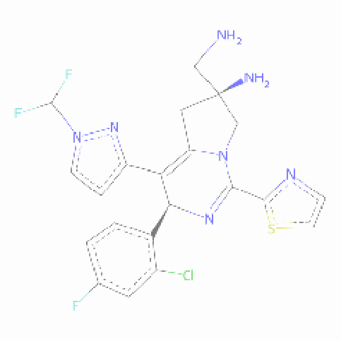 NC[C@@]1(N)CC2=C(c3ccn(C(F)F)n3)[C@H](c3ccc(F)cc3Cl)N=C(c3nccs3)N2C1